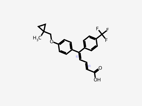 CC1(COc2ccc(/C(=C/C=C/C(=O)O)c3ccc(C(F)(F)F)cc3)cc2)CC1